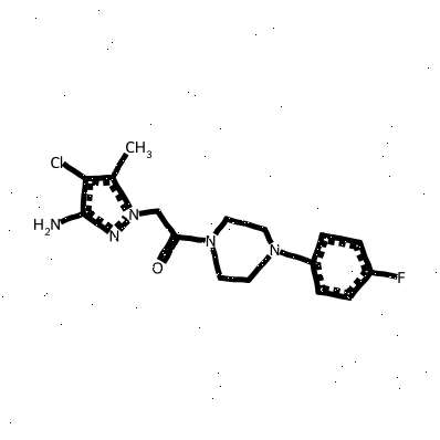 Cc1c(Cl)c(N)nn1CC(=O)N1CCN(c2ccc(F)cc2)CC1